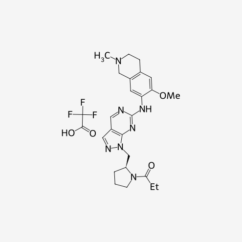 CCC(=O)N1CCC[C@H]1Cn1ncc2cnc(Nc3cc4c(cc3OC)CCN(C)C4)nc21.O=C(O)C(F)(F)F